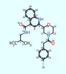 CC(C)CNC(=O)c1cc(C2CN(C(=O)Cc3ccc(F)cc3)CCO2)nc2ccccc12